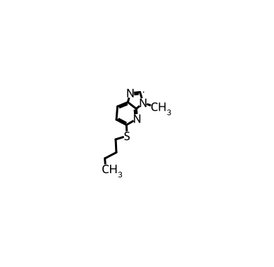 CCCCSc1ccc2n[c]n(C)c2n1